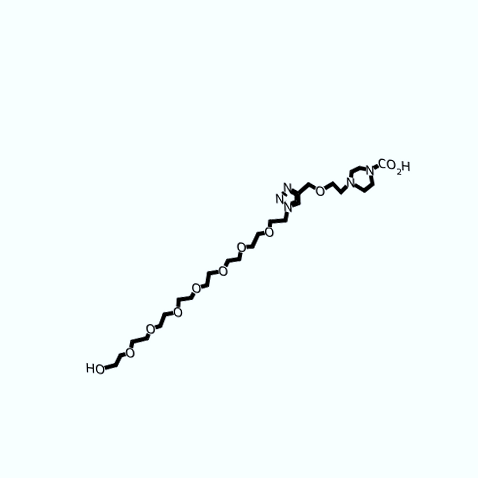 O=C(O)N1CCN(CCOCc2cn(CCOCCOCCOCCOCCOCCOCCOCCO)nn2)CC1